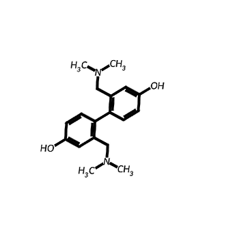 CN(C)Cc1cc(O)ccc1-c1ccc(O)cc1CN(C)C